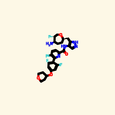 N[C@@H]1CC[C@@H](Cc2[nH]ncc2NC(=O)c2ccc(F)c(-c3c(F)cc(OC4CCOCC4)cc3F)n2)OC[C@H]1F